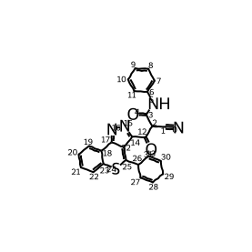 N#CC(C(=O)Nc1ccccc1)C(=O)c1nnc2c3ccccc3sc(C3C=CCC=C3)c1-2